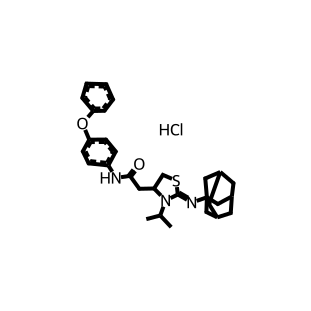 CC(C)N1C(=NC23CC4CC(CC(C4)C2)C3)SCC1CC(=O)Nc1ccc(Oc2ccccc2)cc1.Cl